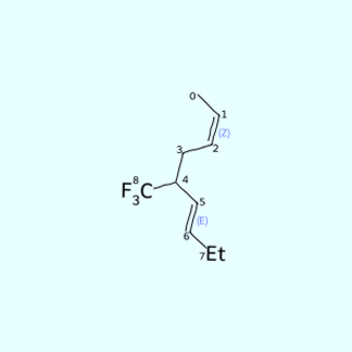 C/C=C\CC(/C=C/CC)C(F)(F)F